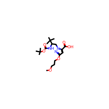 COCCCOc1cc(C(=O)O)n(CC(NC(=O)OC(C)(C)C)C(C)(C)C)n1